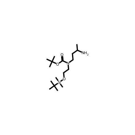 CC(N)CCN(CCO[Si](C)(C)C(C)(C)C)C(=O)OC(C)(C)C